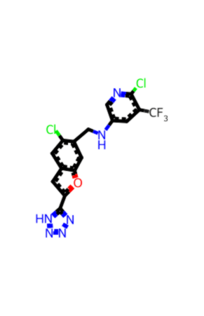 FC(F)(F)c1cc(NCc2cc3oc(-c4nnn[nH]4)cc3cc2Cl)cnc1Cl